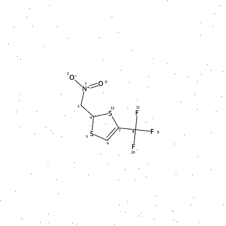 O=[N+]([O-])CC1SC=C(C(F)(F)F)S1